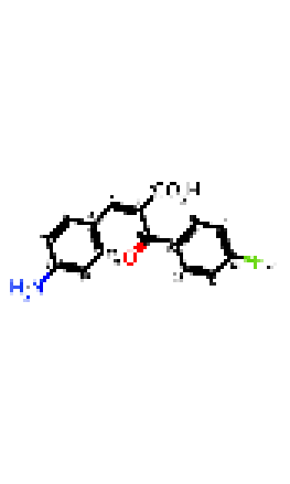 Nc1ccc(C=C(C(=O)O)C(=O)c2ccc(F)cc2)cc1